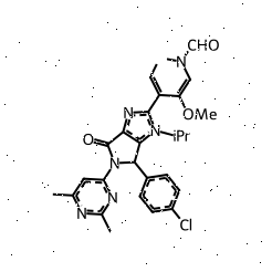 C/C=C(\C(=C/N(C)C=O)OC)c1nc2c(n1C(C)C)C(c1ccc(Cl)cc1)N(c1cc(C)nc(C)n1)C2=O